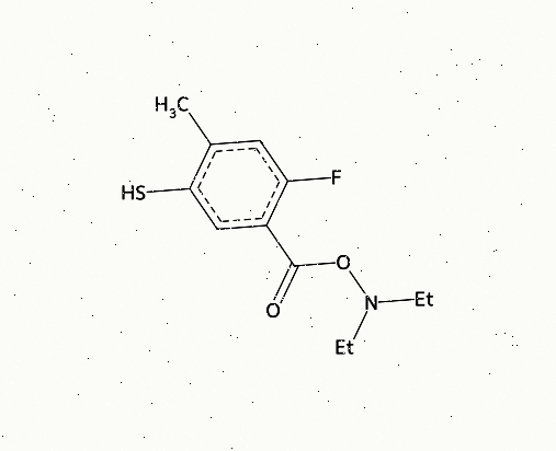 CCN(CC)OC(=O)c1cc(S)c(C)cc1F